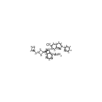 Clc1cc2ccc(-c3ccccn3)nc2cc1-c1nn(C2CC(CN3CCC3)C2)c2ncnc([AsH2])c12